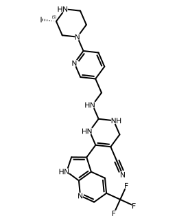 N#CC1=C(c2c[nH]c3ncc(C(F)(F)F)cc23)NC(NCc2ccc(N3CCN[C@@H](I)C3)nc2)NC1